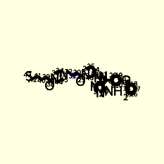 Nc1ncnc2c1c(-c1ccc(Oc3ccccc3)cc1)nn2[C@@H]1CCCN(C(=O)/C=C/CN2CCN(C(=O)CCCC[S])CC2)C1